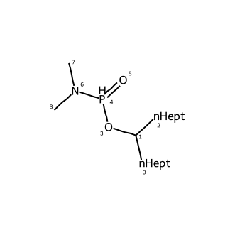 CCCCCCCC(CCCCCCC)O[PH](=O)N(C)C